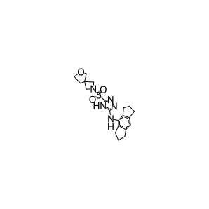 O=S(=O)(c1nnc(Nc2c3c(cc4c2CCC4)CCC3)[nH]1)N1CC2(CCOC2)C1